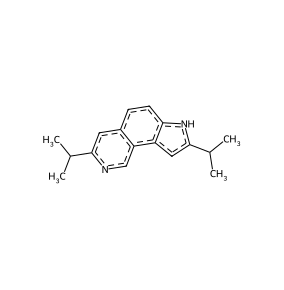 CC(C)c1cc2ccc3[nH]c(C(C)C)cc3c2cn1